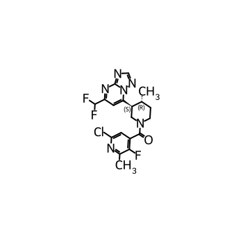 Cc1nc(Cl)cc(C(=O)N2CC[C@@H](C)[C@H](c3cc(C(F)F)nc4ncnn34)C2)c1F